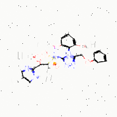 COc1cccc(OC)c1-n1c(COc2ccccc2)nnc1NS(=O)(=O)[C@@H](C)[C@H](OC)c1ncc(C)cn1